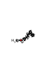 COCCOC(=O)N1CCC(c2nc(C(=O)Nc3ccccc3-c3ccccc3)cs2)CC1